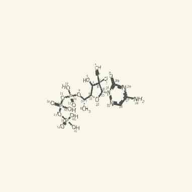 C#C[C@@]1(Cl)C(O)[C@@H]([C@H](C)OP(=O)(O)OP(=O)(O)OP(=O)(O)O)O[C@H]1n1ncc(N)nc1=O